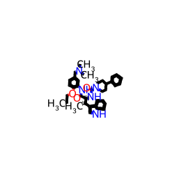 CCCOc1ccc(CN(C)C)cc1NC(=O)[C@H](NC(=O)N1CCC(c2ccccc2)CC1)[C@@H](C)c1c[nH]c2ccccc12